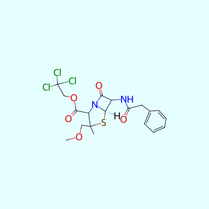 COCC1(C)S[C@@H]2C(NC(=O)Cc3ccccc3)C(=O)N2C1C(=O)OCC(Cl)(Cl)Cl